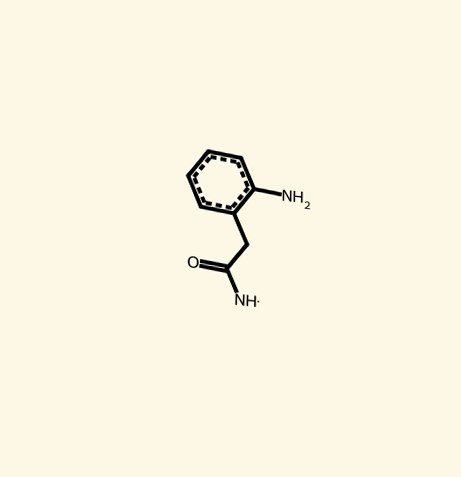 [NH]C(=O)Cc1ccccc1N